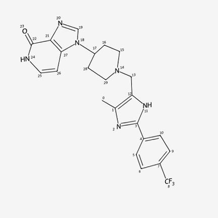 Cc1nc(-c2ccc(C(F)(F)F)cc2)[nH]c1CN1CCC(n2cnc3c(=O)[nH]ccc32)CC1